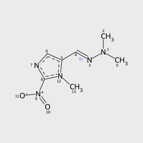 CN(C)/N=C/c1cnc([N+](=O)[O-])n1C